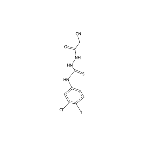 N#CCC(=O)NNC(=S)Nc1ccc(I)c(Cl)c1